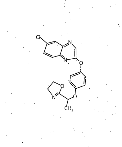 CC(Oc1ccc(Oc2cnc3cc(Cl)ccc3n2)cc1)C1=NCCO1